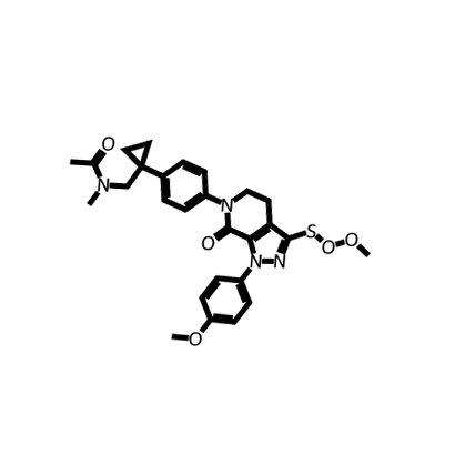 COOSc1nn(-c2ccc(OC)cc2)c2c1CCN(c1ccc(C3(CN(C)C(C)=O)CC3)cc1)C2=O